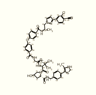 CC1=C(c2ccc(CNC(=O)[C@@H]3C[C@@H](O)CN3C(=O)[C@@H](NC(=O)CNC(=O)c3ccc(Oc4ccc(C(=O)N[C@@H](C)Cn5ccc(-c6ccc(C#N)c(Cl)c6)n5)cc4)cc3)C(C)(C)C)cc2)SCN1